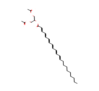 CCCCCCCCC/C=C/C=C/C=C/C=C/C=C/C=C/C(=O)OC(COC(C)=O)COC(C)=O